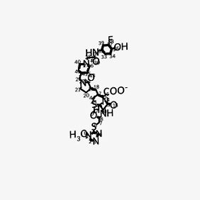 Cn1cnnc1SCC(=O)N[C@@H]1C(=O)N2C(C(=O)[O-])=C(/C=C3\CCN(Cc4cc[n+](CC(=O)Nc5ccc(O)c(F)c5)cc4)C3=O)CS[C@H]12